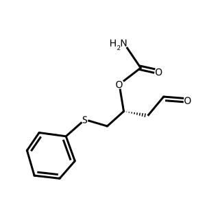 NC(=O)O[C@H](CC=O)CSc1ccccc1